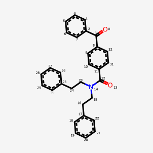 O=C(c1ccccc1)c1ccc(C(=O)N(CCc2ccccc2)CCc2ccccc2)cc1